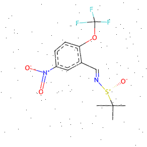 CC(C)(C)[S@@+]([O-])/N=C/c1cc([N+](=O)[O-])ccc1OC(F)(F)F